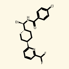 CC[C@@H](NC(=O)c1ccc(Cl)cc1)[C@H]1CC[C@H](c2cccc(C(F)F)n2)CC1